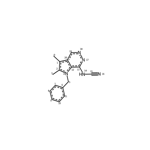 Cc1c(C)n(Cc2ccccc2)c2c(NC#N)nncc12